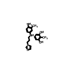 Cc1c(O)cccc1O.Cc1cc(NCCCn2ccnc2)ccc1N